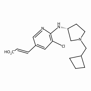 O=C(O)/C=C/c1cnc(N[C@@H]2CCN(CC3CCC3)C2)c(Cl)c1